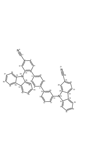 N#Cc1ccc(-c2ccc(-c3cccc(-n4c5ccccc5c5ccc(C#N)cc54)c3)cc2)c(-n2c3ccccc3c3ccccc32)c1